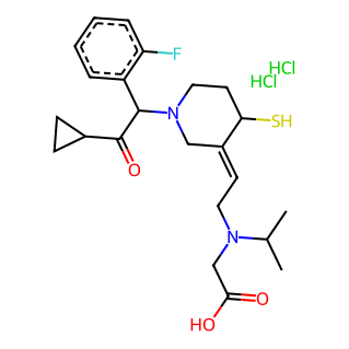 CC(C)N(CC=C1CN(C(C(=O)C2CC2)c2ccccc2F)CCC1S)CC(=O)O.Cl.Cl